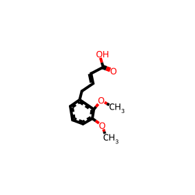 COc1cccc(C/C=C/C(=O)O)c1OC